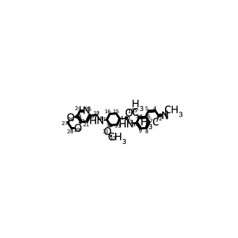 C/N=C(C)\C=C/c1cccc(NC(=O)[C@@H]2CC[C@@H](NCc3cc4c(cn3)OCCO4)[C@H](OC)C2)c1C